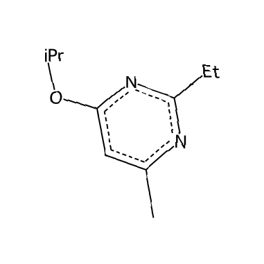 CCc1nc(C)cc(OC(C)C)n1